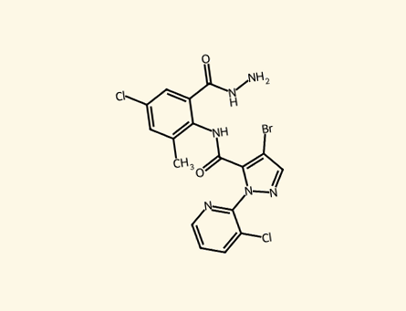 Cc1cc(Cl)cc(C(=O)NN)c1NC(=O)c1c(Br)cnn1-c1ncccc1Cl